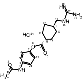 CC(=O)Nc1ccc(OC(=O)[C@H]2CC[C@H](CNC(=N)N)CC2)cc1.Cl